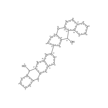 OC1c2ccccc2Oc2cc3ccc(-c4ccc5c(c4)C(O)c4c(ccc6ccccc46)O5)cc3cc21